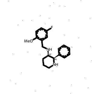 COc1ccc(F)cc1CN[C@@H]1CCCN[C@@H]1c1ccccc1